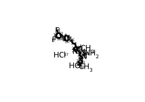 CCc1c(C=CCN2CCN(c3cc(F)cc(F)c3)CC2)cnn1-c1cc(N2CC(C)(O)C2)nc(N)n1.Cl